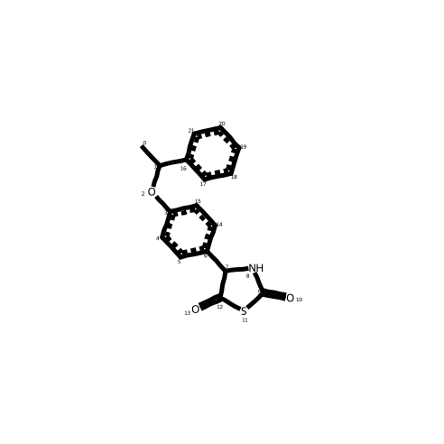 CC(Oc1ccc(C2NC(=O)SC2=O)cc1)c1ccccc1